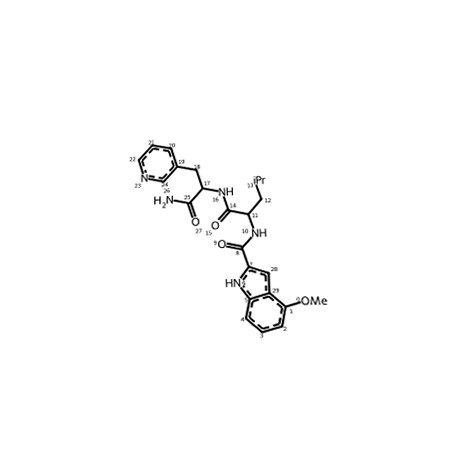 COc1cccc2[nH]c(C(=O)NC(CC(C)C)C(=O)NC(Cc3cccnc3)C(N)=O)cc12